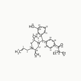 C=CCN1C[C@@H](C)N(C(c2ccc(C(=O)N(CC)CC)cc2)c2cccc(O)c2)C[C@H]1C